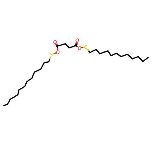 CCCCCCCCCCCCSOC(=O)CCC(=O)OSCCCCCCCCCCCC